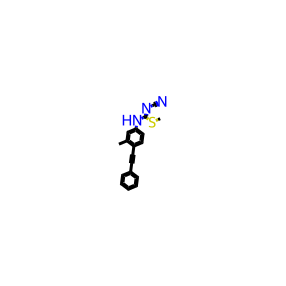 CS/C(=N\C#N)Nc1ccc(C#Cc2ccccc2)c(C)c1